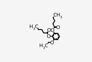 CCCCC(=O)Oc1cccc(OCC)c1OC(=O)CCCC